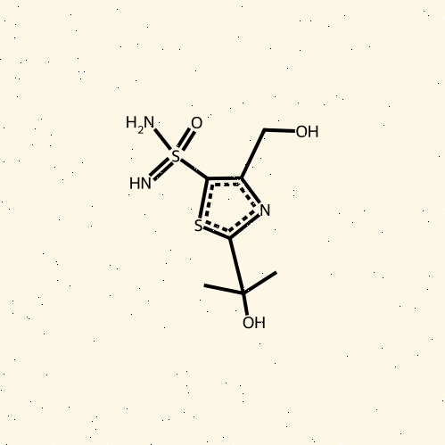 CC(C)(O)c1nc(CO)c(S(=N)(N)=O)s1